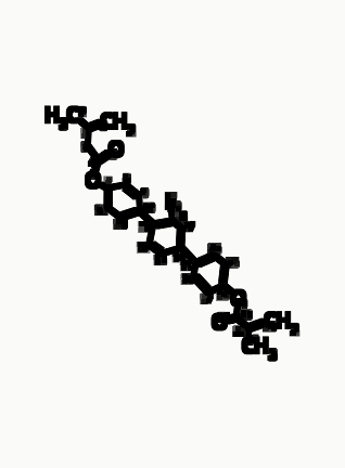 C=C(C)CC(=O)Oc1ccc(-c2ccc(-c3ccc(OC(=O)C(=C)C)cc3)cc2F)cc1